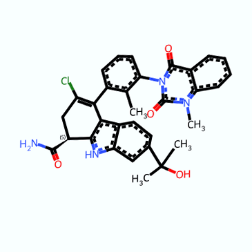 Cc1c(C2=C(Cl)C[C@H](C(N)=O)c3[nH]c4cc(C(C)(C)O)ccc4c32)cccc1-n1c(=O)c2ccccc2n(C)c1=O